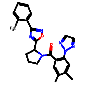 Cc1cc(C(=O)N2CCCC2c2nc(-c3ccccc3C(F)(F)F)no2)c(-n2nccn2)cc1C